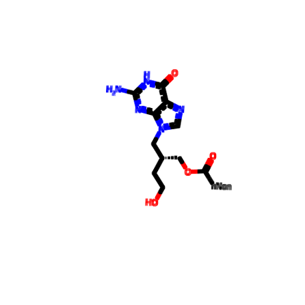 CCCCCCCCCC(=O)OC[C@H](CCO)Cn1cnc2c(=O)[nH]c(N)nc21